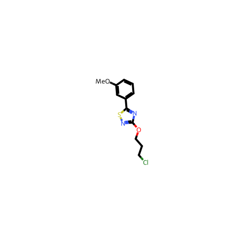 COc1cccc(-c2nc(OCCCCl)ns2)c1